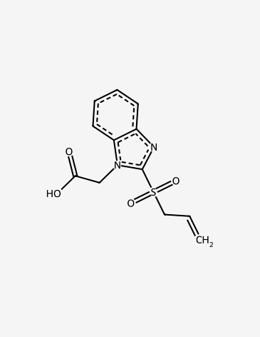 C=CCS(=O)(=O)c1nc2ccccc2n1CC(=O)O